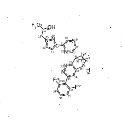 CC1(C)[C@H]2CC[C@]1(c1cncc(-c3ccn(CC(O)C(F)(F)F)n3)n1)c1nnc(-c3c(F)cccc3F)cc12